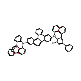 Fc1cc(-c2ccccc2)cc(-c2ccccc2)c1N(c1ccccc1)c1ccc2c(c1)c1ccccc1c1c3ccc(N(c4ccccc4-c4ccccc4)c4cccc5c4oc4ccccc45)cc3ccc21